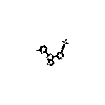 Cc1cccc(-c2nc(-c3cncc(C#C[Si](C)(C)C)c3)c3cc[nH]c3n2)n1